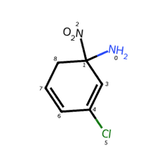 NC1([N+](=O)[O-])C=C(Cl)C=CC1